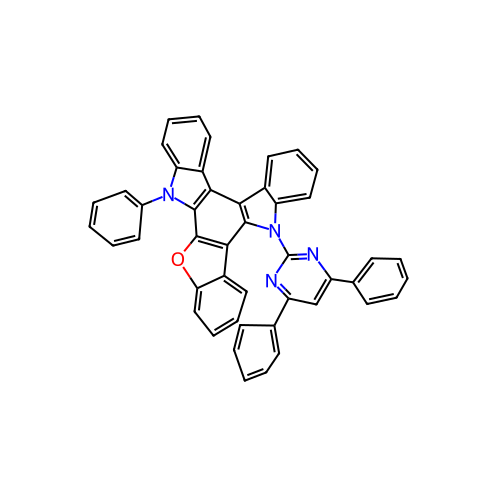 c1ccc(-c2cc(-c3ccccc3)nc(-n3c4ccccc4c4c5c6ccccc6n(-c6ccccc6)c5c5oc6ccccc6c5c43)n2)cc1